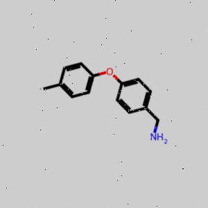 [CH2]c1ccc(Oc2ccc(CN)cc2)cc1